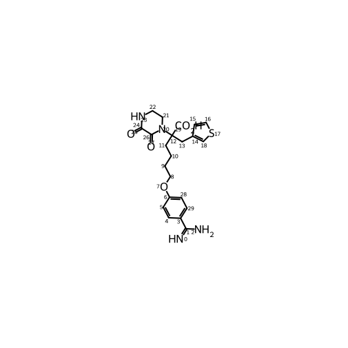 N=C(N)c1ccc(OCCCCC(Cc2ccsc2)(C(=O)O)N2CCNC(=O)C2=O)cc1